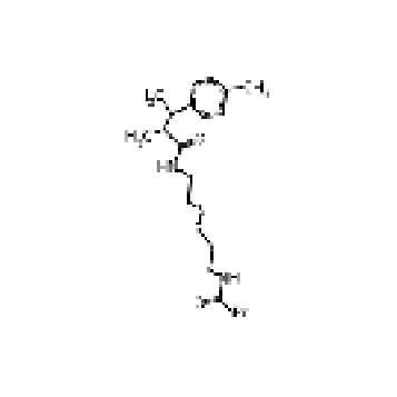 Cc1ccc(C(C)C(C)C(=O)NCCSSCCNC(=O)C(C)C)cc1